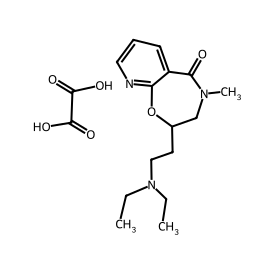 CCN(CC)CCC1CN(C)C(=O)c2cccnc2O1.O=C(O)C(=O)O